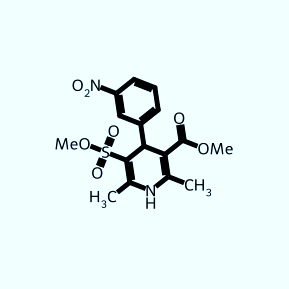 COC(=O)C1=C(C)NC(C)=C(S(=O)(=O)OC)C1c1cccc([N+](=O)[O-])c1